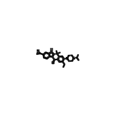 CCc1cc2c(cc1N1CCN(C(C)C)CC1)C(C)(C)c1[nH]c3cc(C4C=N4)ccc3c1C2=O